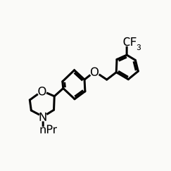 CCCN1CCOC(c2ccc(OCc3cccc(C(F)(F)F)c3)cc2)C1